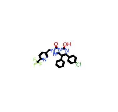 O=c1n(Cc2ccc(C(F)(F)F)nc2)nc2c(-c3ccccc3)c(-c3ccc(Cl)cc3)nc(O)n12